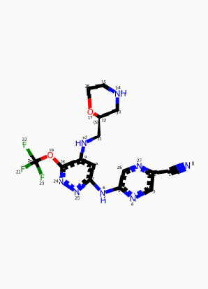 N#Cc1cnc(Nc2cc(NC[C@@H]3CNCCO3)c(OC(F)(F)F)nn2)cn1